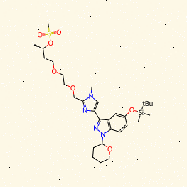 C[C@H](CCOCCOCc1nc(-c2nn(C3CCCCO3)c3ccc(O[Si](C)(C)C(C)(C)C)cc23)cn1C)OS(C)(=O)=O